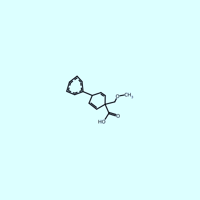 COCC1(C(=O)O)C=CC(c2ccccc2)C=C1